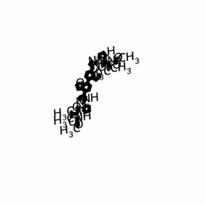 COC(=O)N[C@H](C(=O)N1CCC[C@H]1c1ncc(-c2ccc(-c3ccc(-c4cnc([C@@H]5CCCN5C(=O)[C@@H](NC(=O)OC)C(C)C)[nH]4)c4c3CCO4)c3c2CCO3)[nH]1)C(C)C